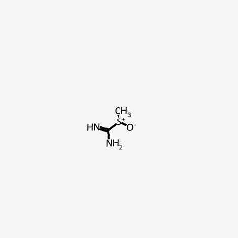 C[S@@+]([O-])C(=N)N